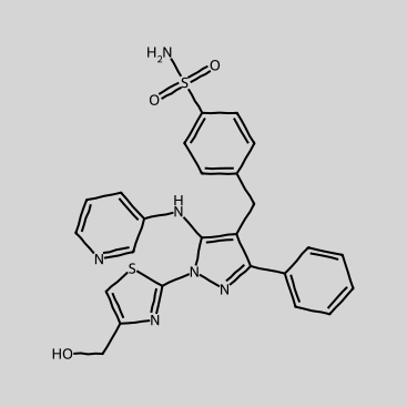 NS(=O)(=O)c1ccc(Cc2c(-c3ccccc3)nn(-c3nc(CO)cs3)c2Nc2cccnc2)cc1